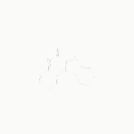 O=C1N=c2ccccc2=C2C1=Nc1ccccc12